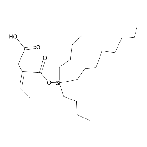 CC=C(CC(=O)O)C(=O)O[Si](CCCC)(CCCC)CCCCCCCC